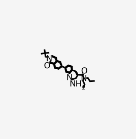 CCCN(CCC)C(=O)C1=Cc2ccc(-c3ccc4c(=O)n(CC(C)(C)C)ccc4c3)cc2N=C(N)C1